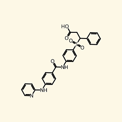 O=C(O)CC(c1ccccc1)S(=O)(=O)c1ccc(NC(=O)c2ccc(Nc3ccccn3)cc2)cc1